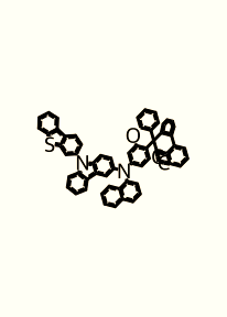 c1ccc2c(c1)Oc1cc(N(c3ccc4c(c3)c3ccccc3n4-c3ccc4c(c3)sc3ccccc34)c3cccc4ccccc34)ccc1C21c2ccccc2-c2cccc3cccc1c23